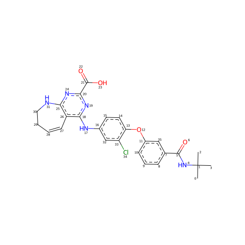 CC(C)(C)NC(=O)c1cccc(Oc2ccc(Nc3nc(C(=O)O)nc4c3C=CCCN4)cc2Cl)c1